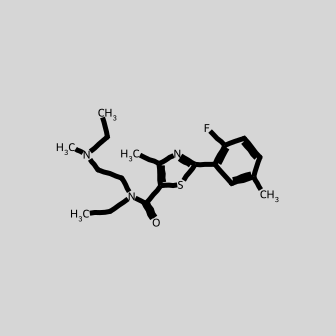 CCN(C)CCN(CC)C(=O)c1sc(-c2cc(C)ccc2F)nc1C